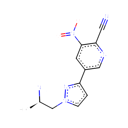 C[C@@H](N)Cn1ccc(-c2cnc(C#N)c([N+](=O)[O-])c2)n1